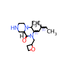 C/C=C(\C=C1/C(C)N2CCNC[C@@H]2C(=O)N1CC1CCO1)C(F)(F)F